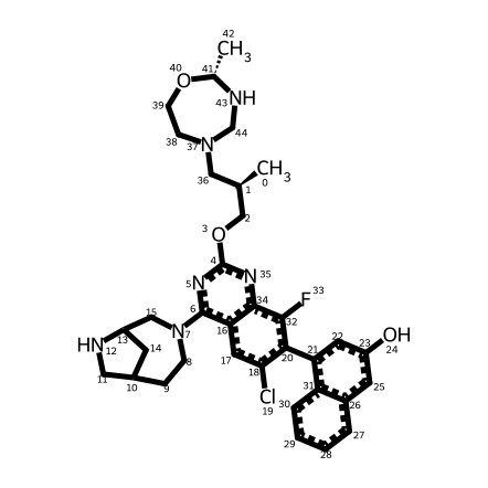 C[C@@H](COc1nc(N2CCC3CNC(C3)C2)c2cc(Cl)c(-c3cc(O)cc4ccccc34)c(F)c2n1)CN1CCO[C@H](C)NC1